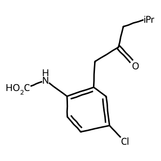 CC(C)CC(=O)Cc1cc(Cl)ccc1NC(=O)O